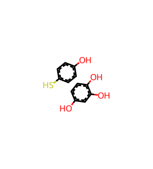 Oc1ccc(O)c(O)c1.Oc1ccc(S)cc1